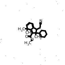 COC(=O)C1=C2C(=CC=CC2(C)C)C(CC#N)C1(C)C1=CCCCC1